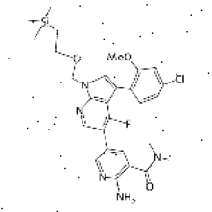 COc1cc(Cl)ccc1-c1cn(COCC[Si](C)(C)C)c2ncc(-c3cnc(N)c(C(=O)N(C)C)c3)c(F)c12